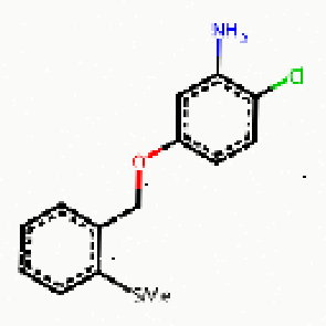 CSc1ccccc1COc1ccc(Cl)c(N)c1